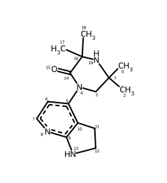 CC1(C)CN(c2ccnc3c2CCN3)C(=O)C(C)(C)N1